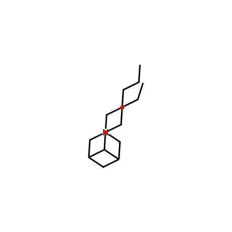 CCCCCC1C2CC1CN(CCCCC)C2